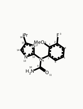 COc1c(F)cccc1N(C(N)=O)c1ncc(C(C)C)s1